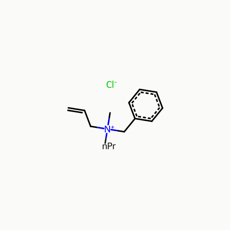 C=CC[N+](C)(CCC)Cc1ccccc1.[Cl-]